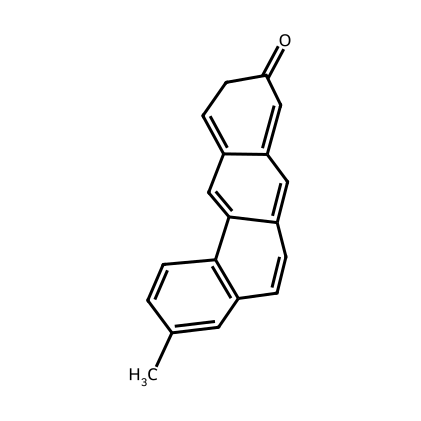 Cc1ccc2c(ccc3cc4c(cc32)=CCC(=O)C=4)c1